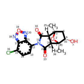 C[C@]12O[C@](C)(C[C@@H]1O)[C@H]1C(=O)N(c3ccc(Cl)c4nonc34)C(=O)[C@H]12